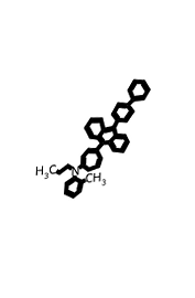 CCCN(C1=CC=C(c2c3ccccc3c(-c3ccc(-c4ccccc4)cc3)c3ccccc23)C=CC1)c1ccccc1C